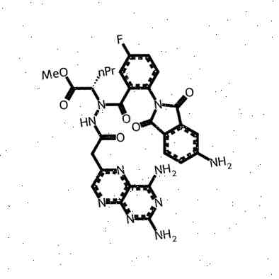 CCC[C@@H](C(=O)OC)N(NC(=O)Cc1cnc2nc(N)nc(N)c2n1)C(=O)c1cc(F)ccc1N1C(=O)c2ccc(N)cc2C1=O